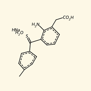 Cc1ccc(C(=S)c2cccc(CC(=O)O)c2N)cc1.O.[NaH]